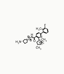 Cc1c(F)cccc1-c1ccc(C(=O)NS(=O)(=O)N2CC[C@H](N)C2)c(N2C[C@@H](C)CC2(C)C)n1